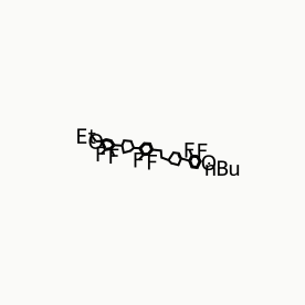 CCCCOc1ccc(C2=CCC(CCc3ccc(C4CCC(c5ccc(OCC)c(F)c5F)CC4)c(F)c3F)CC2)c(F)c1F